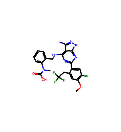 COc1cc(CC(F)(F)F)c(-c2nc(NCc3ccccc3N(C)C(=O)O)c3c(I)n[nH]c3n2)cc1F